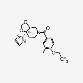 Cc1cc(C(=O)N2CC[C@@]3(c4nccs4)OCOC3C2)ccc1OCC(F)(F)F